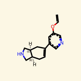 C=COc1cncc(C2=CC[C@H]3CNC[C@H]3C2)c1